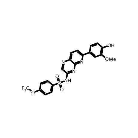 COc1cc(-c2ccc3ncc(NS(=O)(=O)c4ccc(OC(F)(F)F)cc4)nc3n2)ccc1O